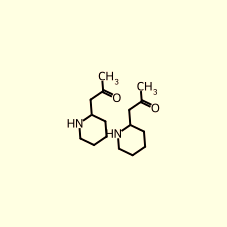 CC(=O)CC1CCCCN1.CC(=O)CC1CCCCN1